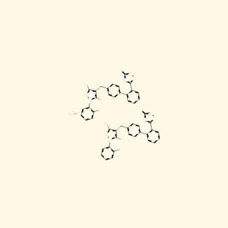 CCCCc1nn(-c2ccccc2Cl)c(C(=O)[O-])c1Cc1ccc(-c2ccccc2-c2nc(=O)s[nH]2)cc1.CCCCc1nn(-c2ccccc2Cl)c(C(=O)[O-])c1Cc1ccc(-c2ccccc2-c2nc(=O)s[nH]2)cc1.[Na+].[Na+]